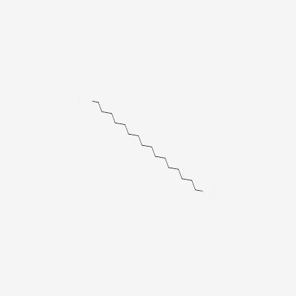 [CH]CCCCCCCCCCCCCCCCC